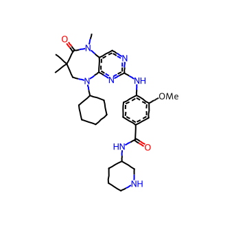 COc1cc(C(=O)NC2CCCNC2)ccc1Nc1ncc2c(n1)N(C1CCCCC1)CC(C)(C)C(=O)N2C